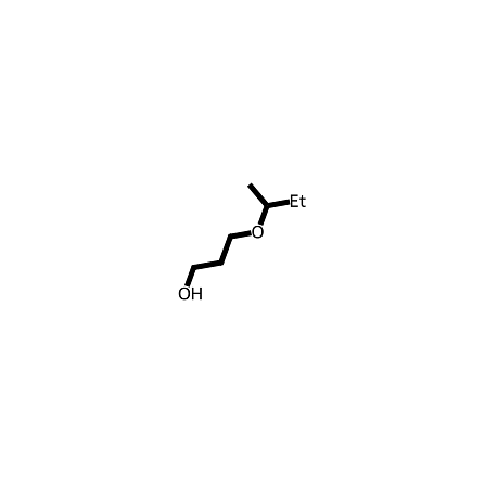 [CH2]CC(C)OCCCO